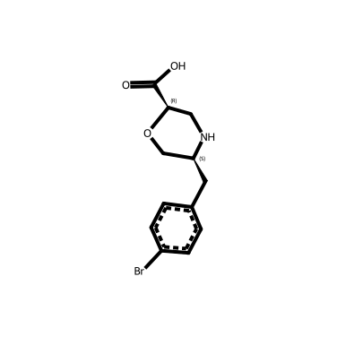 O=C(O)[C@H]1CN[C@@H](Cc2ccc(Br)cc2)CO1